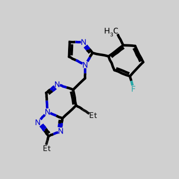 CCc1nc2c(CC)c(Cn3ccnc3-c3cc(F)ccc3C)ncn2n1